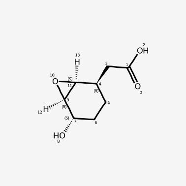 O=C(O)C[C@H]1CC[C@H](O)[C@H]2O[C@@H]12